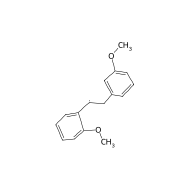 COc1cccc(C[CH]c2ccccc2OC)c1